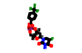 O=c1[nH]c(=O)n([C@H]2C[C@@H]3O[PH](O)(OCc4ccc(C(F)(F)F)cc4)OC[C@H]3O2)cc1F